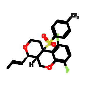 C/C=C/[C@@H]1OCC[C@@]2(S(=O)(=O)c3ccc(C(F)(F)F)cc3)c3c(F)ccc(F)c3OC[C@@H]12